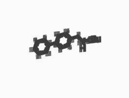 CC(C)(C)NCc1ccc(-c2ccccc2)cc1